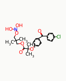 CC(C)(COC(=O)C(C)(C)Oc1ccc(C(=O)c2ccc(Cl)cc2)cc1)CON(O)O